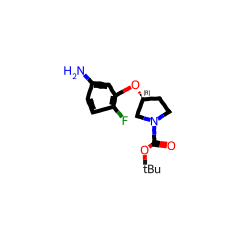 CC(C)(C)OC(=O)N1CC[C@@H](Oc2cc(N)ccc2F)C1